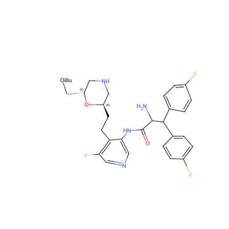 CC(C)COC[C@@H]1CNC[C@@H](CCc2c(F)cncc2NC(=O)C(N)C(c2ccc(F)cc2)c2ccc(F)cc2)O1